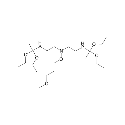 CCOC(C)(OCC)PCCN(CCPC(C)(OCC)OCC)OCCCOC